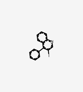 Ic1cnc2ccccc2c1-c1ccccc1